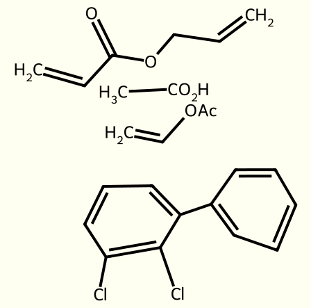 C=CCOC(=O)C=C.C=COC(C)=O.CC(=O)O.Clc1cccc(-c2ccccc2)c1Cl